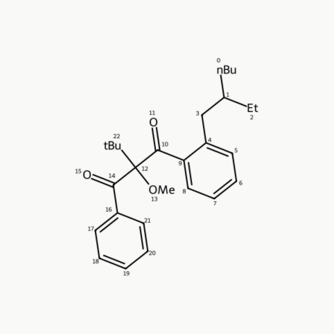 CCCCC(CC)Cc1ccccc1C(=O)C(OC)(C(=O)c1ccccc1)C(C)(C)C